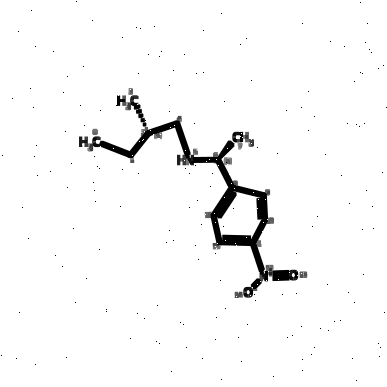 CC[C@H](C)CN[C@@H](C)c1ccc([N+](=O)[O-])cc1